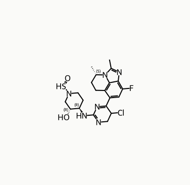 Cc1nc2c(F)cc(C3=NC(N[C@@H]4CCN([SH]=O)C[C@H]4O)=NCC3Cl)c3c2n1[C@@H](C)CC3